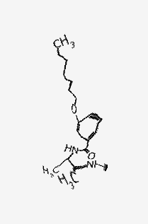 CCCCCCCOc1cccc(C(=O)NC(C)C(C)=N)c1